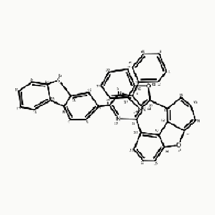 c1ccc(-c2nc(-c3ccc4c(c3)sc3ccccc34)nc(-c3cccc4oc5cccc(-c6nc7ccccc7o6)c5c34)n2)cc1